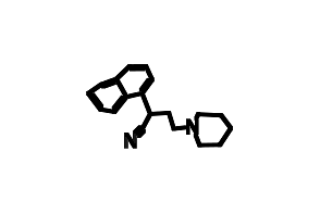 N#CC(CCN1CCCCC1)c1cccc2ccccc12